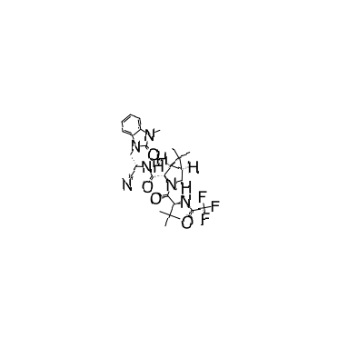 Cn1c(=O)n(C[C@@H](C#N)NC(=O)[C@@H]2[C@@H]3[C@H](CN2C(=O)[C@@H](NC(=O)C(F)(F)F)C(C)(C)C)C3(C)C)c2ccccc21